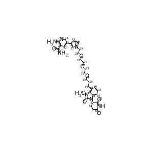 Cn1c(=O)n(C2CCC(=O)NC2=O)c2cccc(CCCOCCOCCOCCn3cc(-c4cnc(N)c(C(N)=O)c4)cn3)c21